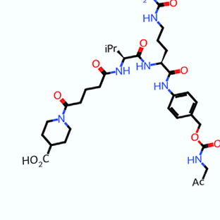 CC(=O)CNC(=O)OCc1ccc(NC(=O)[C@H](CCCNC(N)=O)NC(=O)[C@@H](NC(=O)CCCC(=O)N2CCC(C(=O)O)CC2)C(C)C)cc1